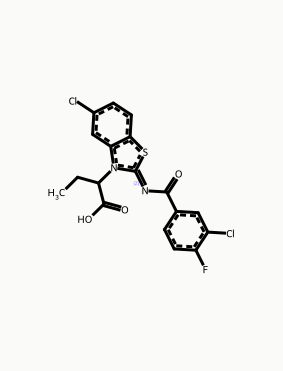 CCC(C(=O)O)n1/c(=N/C(=O)c2ccc(F)c(Cl)c2)sc2ccc(Cl)cc21